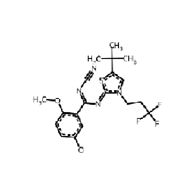 COc1ccc(Cl)cc1C(=NC#N)N=c1sc(C(C)(C)C)cn1CCC(F)(F)F